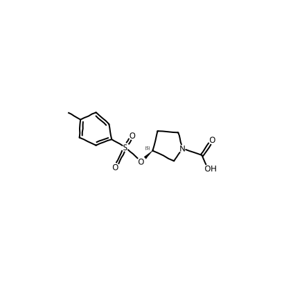 Cc1ccc(S(=O)(=O)O[C@H]2CCN(C(=O)O)C2)cc1